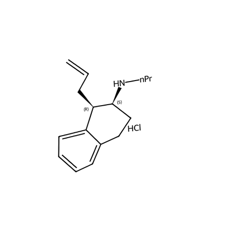 C=CC[C@@H]1c2ccccc2CC[C@@H]1NCCC.Cl